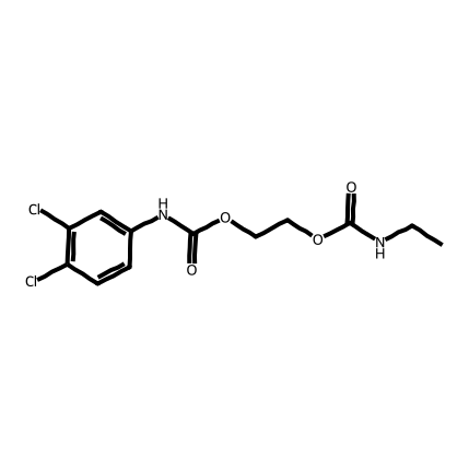 CCNC(=O)OCCOC(=O)Nc1ccc(Cl)c(Cl)c1